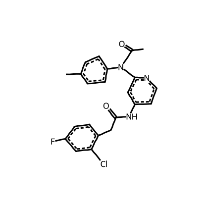 CC(=O)N(c1ccc(C)cc1)c1cc(NC(=O)Cc2ccc(F)cc2Cl)ccn1